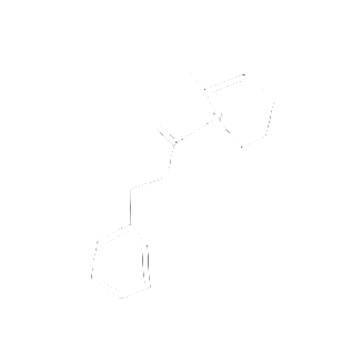 CC1=CCCCN1C(=O)OCc1ccccc1